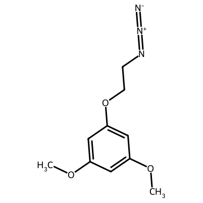 COc1cc(OC)cc(OCCN=[N+]=[N-])c1